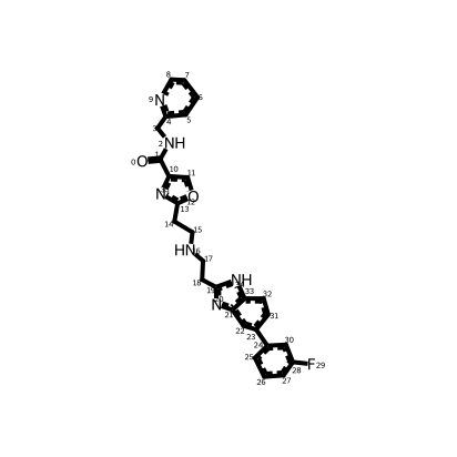 O=C(NCc1ccccn1)c1coc(CCNCCc2nc3cc(-c4cccc(F)c4)ccc3[nH]2)n1